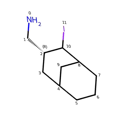 NC[C@H]1CC2CCCC(C2)C1I